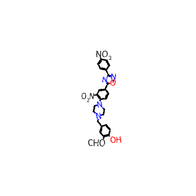 O=Cc1cc(CN2CCN(c3ccc(-c4nc(-c5ccc([N+](=O)[O-])cc5)no4)cc3[N+](=O)[O-])CC2)ccc1O